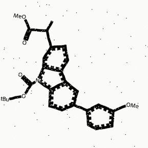 COC(=O)C(C)c1ccc2c3cc(-c4cccc(OC)c4)ccc3n(C(=O)OC(C)(C)C)c2c1